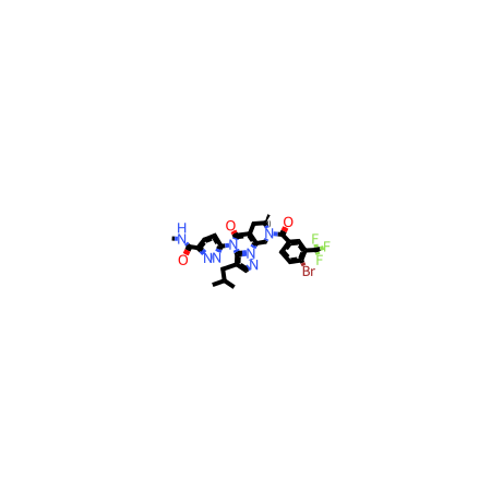 CNC(=O)c1ccc(-n2c(=O)c3c(n4ncc(CC(C)C)c24)CN(C(=O)c2ccc(Br)c(C(F)(F)F)c2)[C@H](C)C3)nn1